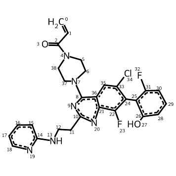 C=CC(=O)N1CCN(c2nc(CCNc3ccccn3)nc3c(F)c(-c4c(O)cccc4F)c(Cl)cc23)CC1